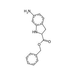 Nc1ccc2c(c1)NC(C(=O)OCc1ccccc1)C2